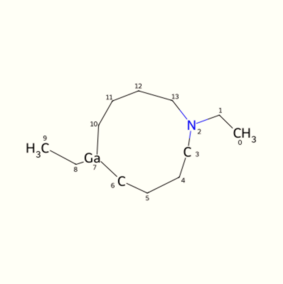 CCN1CCC[CH2][Ga]([CH2]C)[CH2]CCC1